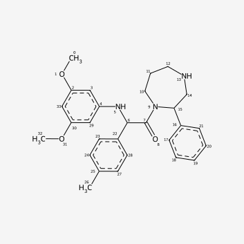 COc1cc(NC(C(=O)N2CCCNCC2c2ccccc2)c2ccc(C)cc2)cc(OC)c1